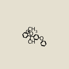 C#CC(OC(C)=O)(c1ccccc1)c1ccc(Oc2ccccc2)cc1